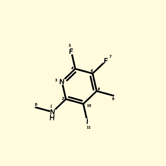 CNc1nc(F)c(F)c(C)c1I